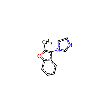 Cc1oc2ccccc2c1-n1ccnc1